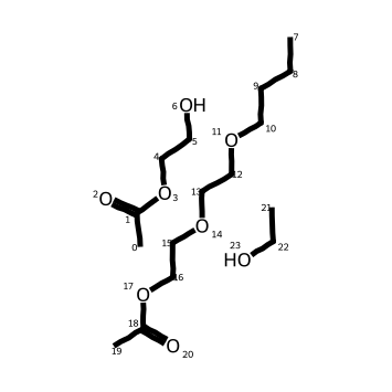 CC(=O)OCCO.CCCCOCCOCCOC(C)=O.CCO